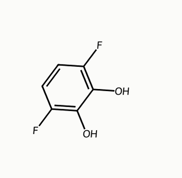 Oc1c(F)ccc(F)c1O